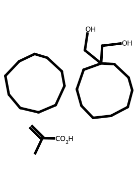 C1CCCCCCCCC1.C=C(C)C(=O)O.OCC1(CO)CCCCCCCCC1